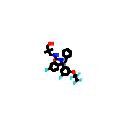 CC(C)(CO)CNC(=O)N[C@](Cc1ccccc1)(c1ccc(F)cc1)c1cc(F)cc(OC(F)(F)C(F)F)c1